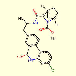 CC(C)(C)OC(=O)N1[C@@H]2CC[C@@H](C2)[C@H]1C(=O)NC(C#N)Cc1ccc2c(c1)C(O)Nc1cc(Cl)ccc1-2